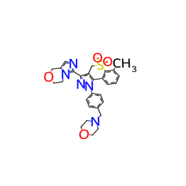 Cc1cccc2c1S(=O)(=O)Cc1c(-c3ncc4n3CCOC4)nn(-c3ccc(CN4CCOCC4)cc3)c1-2